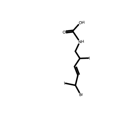 O=C(O)NCC(I)C=CC(Br)I